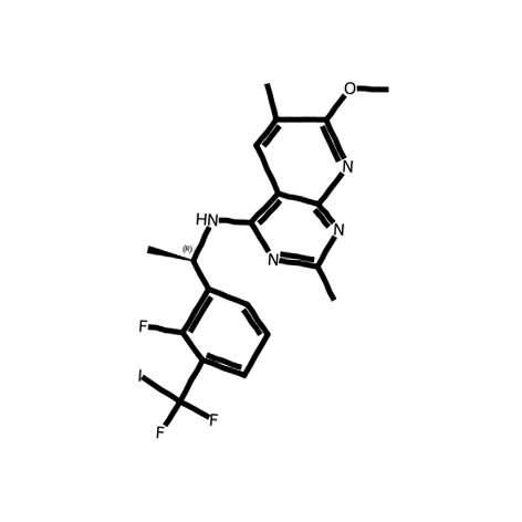 COc1nc2nc(C)nc(N[C@H](C)c3cccc(C(F)(F)I)c3F)c2cc1C